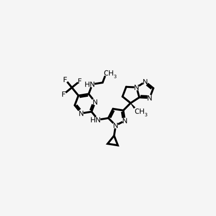 CCNc1nc(Nc2cc([C@]3(C)CCn4ncnc43)nn2C2CC2)ncc1C(F)(F)F